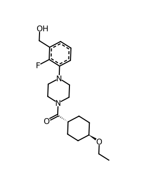 CCO[C@H]1CC[C@H](C(=O)N2CCN(c3cccc(CO)c3F)CC2)CC1